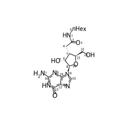 CCCCCCNC(=O)C[C@H]1[C@@H](O)[C@H](n2cnc3c(=O)[nH]c(N)nc32)O[C@@H]1CO